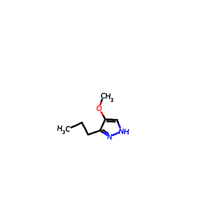 CCCc1n[nH]cc1OC